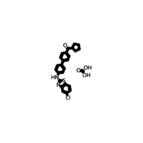 O=C(O)O.O=C(c1ccc(-c2ccc(Nc3nc4cc(Cl)ccc4s3)cc2)cc1)C1CCCC1